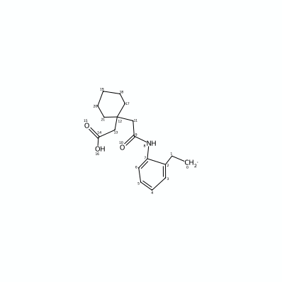 [CH2]Cc1ccccc1NC(=O)CC1(CC(=O)O)CCCCC1